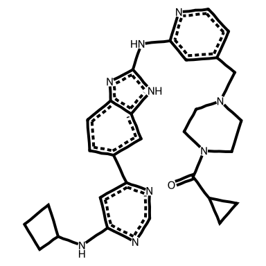 O=C(C1CC1)N1CCN(Cc2ccnc(Nc3nc4ccc(-c5cc(NC6CCC6)ncn5)cc4[nH]3)c2)CC1